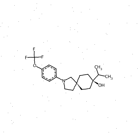 CC(C)[C@]1(O)CC[C@]2(CCN(c3ccc(OC(F)(F)F)cc3)C2)CC1